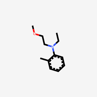 CCN(CCOC)c1ccccc1C